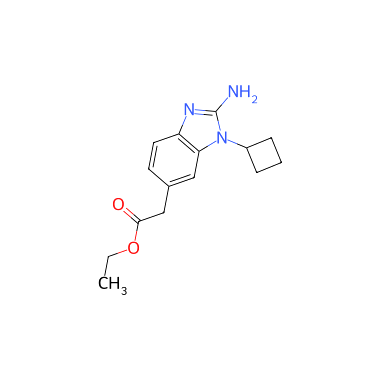 CCOC(=O)Cc1ccc2nc(N)n(C3CCC3)c2c1